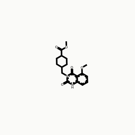 COC(=O)C1CCC(Cn2c(=O)[nH]c3cccc(OC)c3c2=O)CC1